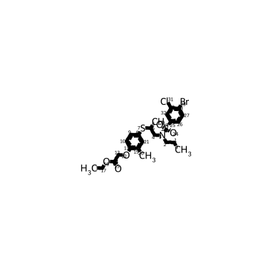 CCCN(CC(C)Sc1ccc(OCC(=O)OCC)c(C)c1)S(=O)(=O)c1ccc(Br)c(Cl)c1